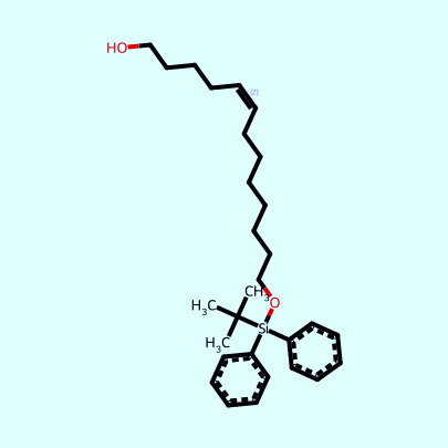 CC(C)(C)[Si](OCCCCCCC/C=C\CCCCO)(c1ccccc1)c1ccccc1